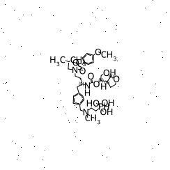 COc1ccc(S(=O)(=O)N(CC[C@H](Cc2ccc(CN(C)CC[PH](O)(O)O)cc2)NC(=O)O[C@H]2CO[C@H]3OCC[C@H]32)CC(C)C)cc1